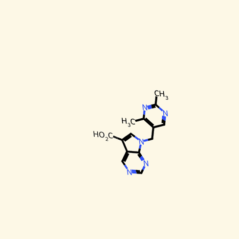 Cc1ncc(Cn2cc(C(=O)O)c3cncnc32)c(C)n1